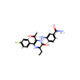 CCc1nc(-c2ccc(F)cc2)c(C(C)=O)n(Nc2cccc(C(N)=O)c2)c1=O